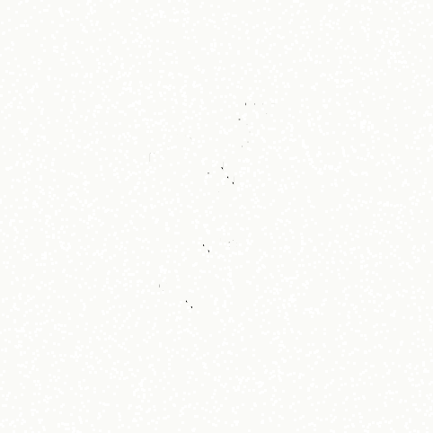 CCOC(=O)c1ccc(-n2nc(CCC(=O)NCCCN3CCCC3=O)cc2-c2cccc(F)c2)cc1